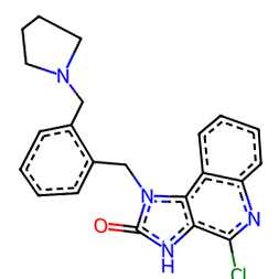 O=c1[nH]c2c(Cl)nc3ccccc3c2n1Cc1ccccc1CN1CCCC1